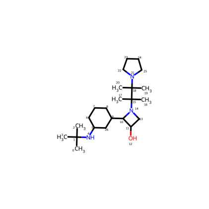 CC(C)(C)NC1CCCC(C2C(O)CN2C(C)(C)C(C)(C)N2CCCC2)C1